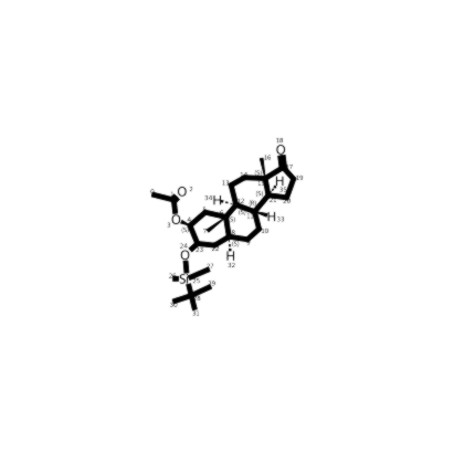 CC(=O)O[C@H]1C[C@@]2(C)[C@@H](CC[C@@H]3[C@@H]2CC[C@]2(C)C(=O)CC[C@@H]32)CC1O[Si](C)(C)C(C)(C)C